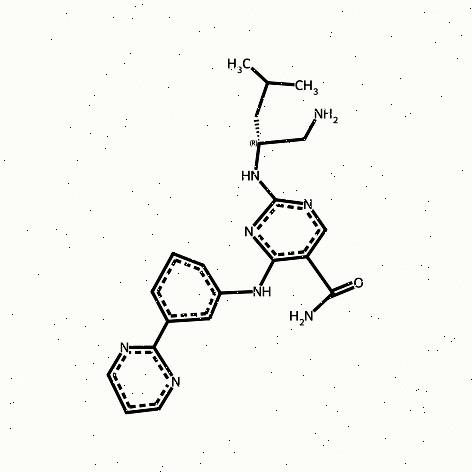 CC(C)C[C@H](CN)Nc1ncc(C(N)=O)c(Nc2cccc(-c3ncccn3)c2)n1